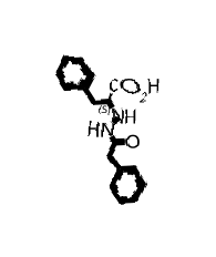 O=C(Cc1ccccc1)NN[C@@H](Cc1ccccc1)C(=O)O